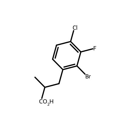 CC(Cc1ccc(Cl)c(F)c1Br)C(=O)O